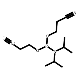 [C-]#[N+]CCOP(OCCC#N)N(C(C)C)C(C)C